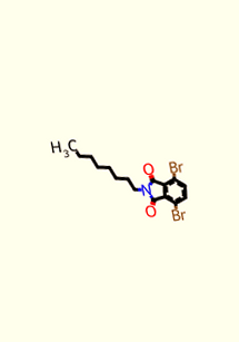 CCCCCCCCN1C(=O)c2c(Br)ccc(Br)c2C1=O